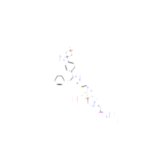 CC1(O)CC(N)(c2ccc(-c3nc(-c4cnc(C5(O)CCN(CC(N)=O)CC5)s4)sc3-c3ccccc3)cc2)C1